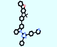 CC1(C)c2cc(-c3ccc4c(c3)c3ccccc3n4-c3nc(-c4ccccc4)nc(-c4ccc(-c5cccnc5)cc4)n3)ccc2-c2cc3c(cc21)oc1ccccc13